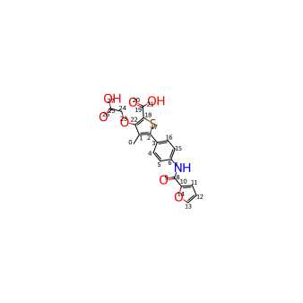 Cc1c(-c2ccc(NC(=O)c3ccco3)cc2)sc(C(=O)O)c1OCC(=O)O